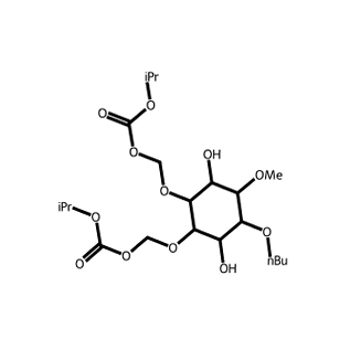 CCCCOC1C(O)C(OCOC(=O)OC(C)C)C(OCOC(=O)OC(C)C)C(O)C1OC